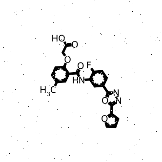 Cc1ccc(OCC(=O)O)c(C(=O)Nc2cc(-c3nnc(-c4ccco4)o3)ccc2F)c1